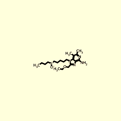 CCCC[S+]([O-])CCCCCn1c(COCC)nc2c(N)nc(C)c(C)c21